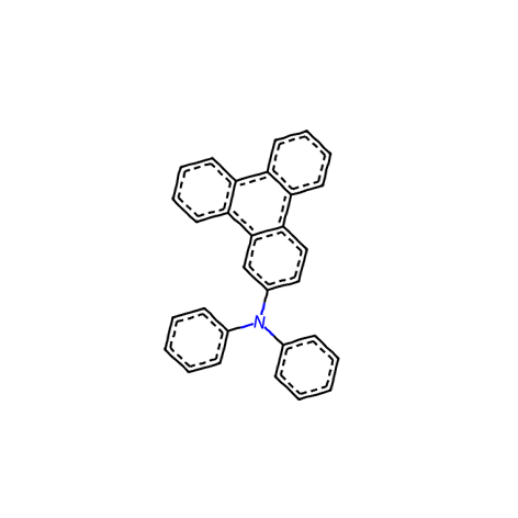 c1ccc(N(c2ccccc2)c2ccc3c4ccccc4c4ccccc4c3c2)cc1